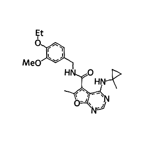 CCOc1ccc(CNC(=O)c2c(C)oc3ncnc(NC4(C)CC4)c23)cc1OC